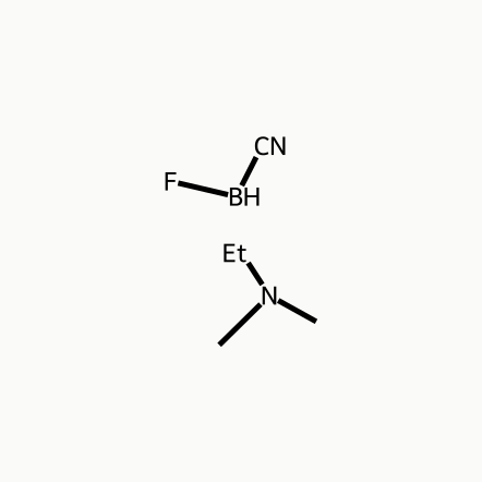 CCN(C)C.N#CBF